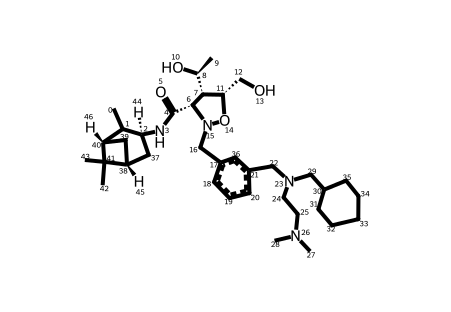 CC1[C@@H](NC(=O)[C@@H]2[C@H]([C@H](C)O)[C@H](CO)ON2Cc2cccc(CN(CCN(C)C)CC3CCCCC3)c2)C[C@H]2C[C@@H]1C2(C)C